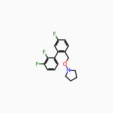 Fc1ccc(CON2CCCC2)c(-c2cccc(F)c2F)c1